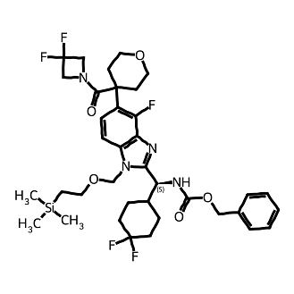 C[Si](C)(C)CCOCn1c([C@@H](NC(=O)OCc2ccccc2)C2CCC(F)(F)CC2)nc2c(F)c(C3(C(=O)N4CC(F)(F)C4)CCOCC3)ccc21